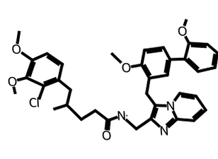 COc1ccc(-c2ccccc2OC)cc1Cc1c(C[N]C(=O)CCC(C)Cc2ccc(OC)c(OC)c2Cl)nc2ccccn12